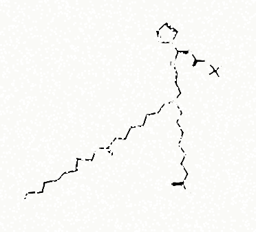 CCCCCCCCCOC(=O)CCCCCCCN(CCCCCCCC(=O)O)CCCNC(=NC(=O)OC(C)(C)C)n1cccn1